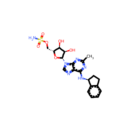 Cc1nc(N[C@H]2CCc3ccccc32)c2ncn([C@@H]3O[C@H](COS(N)(=O)=O)[C@@H](O)[C@H]3O)c2n1